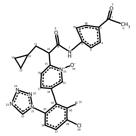 CC(=O)c1ccc(NC(=O)C(CC2CC2)c2ccc(-c3c(-n4cnnn4)ccc(Cl)c3F)c[n+]2[O-])cc1